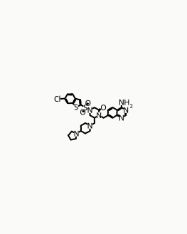 Nc1ncnc2cc(CN3C(=O)CN(S(=O)(=O)c4cc5ccc(Cl)cc5s4)CC3CN3CCC(N4CCCC4)CC3)ccc12